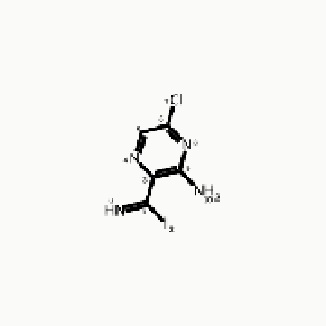 N=C(I)c1ncc(Cl)nc1N